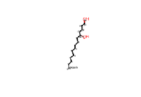 CCCCCCCCCCCCCCCCCCC(O)CCCCO